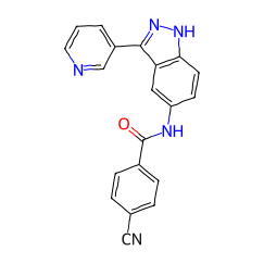 N#Cc1ccc(C(=O)Nc2ccc3[nH]nc(-c4cccnc4)c3c2)cc1